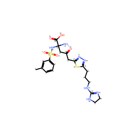 Cc1cccc(S(=O)(=O)NC(N)(CC(=O)Cc2nnc(CCCNC3=NCCN3)s2)C(=O)O)c1